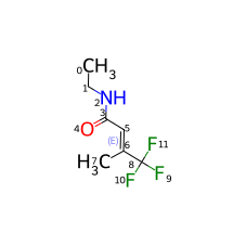 CCNC(=O)/C=C(\C)C(F)(F)F